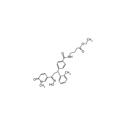 CCOC(=O)CCCNC(=O)c1ccc(C(CC(=NO)c2ccc(=O)n(C)c2)c2ccccc2C)cc1